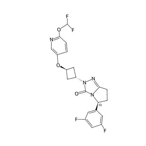 O=c1n2c(nn1[C@H]1C[C@H](Oc3ccc(OC(F)F)nc3)C1)CC[C@H]2c1cc(F)cc(F)c1